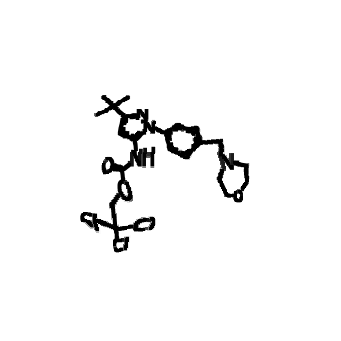 CC(C)(C)c1cc(NC(=O)OCC(Cl)(Cl)Cl)n(-c2ccc(CN3CCOCC3)cc2)n1